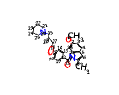 COc1ccc2cc(C)n(C(=O)c3ccc(OCCCN4CCCCC4)cc3)c2c1